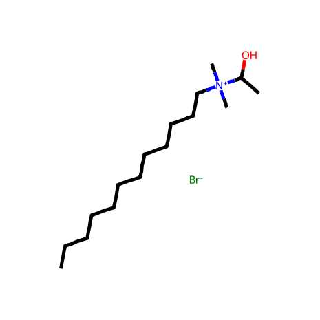 CCCCCCCCCCCC[N+](C)(C)C(C)O.[Br-]